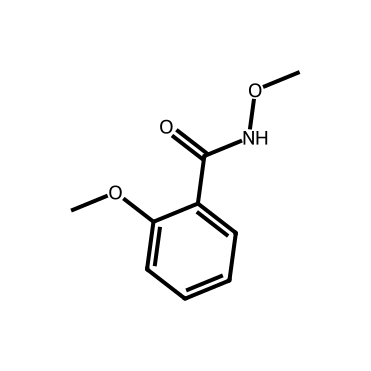 CONC(=O)c1ccccc1OC